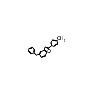 Cc1ccc(-c2cc3cc(Cc4ccccc4)ccc3o2)cc1